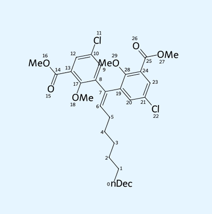 CCCCCCCCCCCCCCCC=C(c1cc(Cl)cc(C(=O)OC)c1OC)c1cc(Cl)cc(C(=O)OC)c1OC